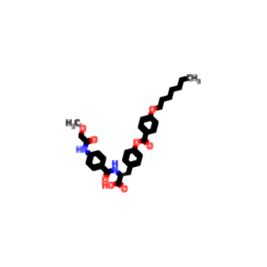 CCCCCCCOc1ccc(C(=O)Oc2ccc(C[C@H](NC(=O)c3ccc(NC(=O)COC)cc3)C(=O)O)cc2)cc1